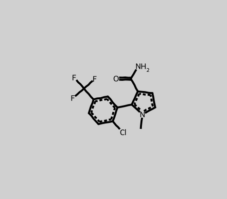 Cn1ccc(C(N)=O)c1-c1cc(C(F)(F)F)ccc1Cl